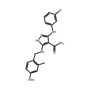 COc1ccc(CNc2[nH]nc(Nc3cccc(Cl)c3)c2C(N)=O)c(C)c1